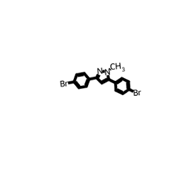 Cn1nc(-c2ccc(Br)cc2)cc1-c1ccc(Br)cc1